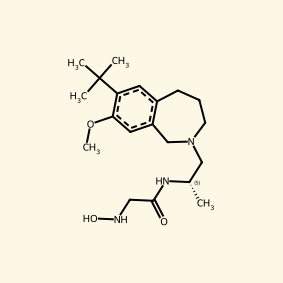 COc1cc2c(cc1C(C)(C)C)CCCN(C[C@H](C)NC(=O)CNO)C2